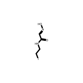 O=C(C=NO)NCCI